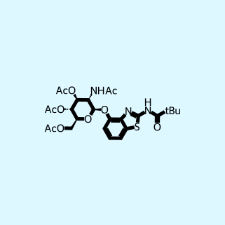 CC(=O)N[C@@H]1[C@@H](Oc2cccc3sc(NC(=O)C(C)(C)C)nc23)O[C@@H](COC(C)=O)[C@H](OC(C)=O)[C@H]1OC(C)=O